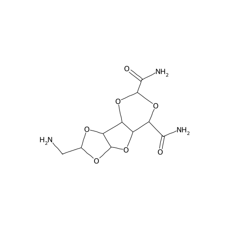 NCC1OC2OC3C(C(N)=O)OC(C(N)=O)OC3C2O1